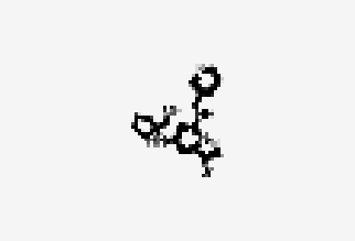 OCC1(Nc2cc(NCc3cccnc3)n3ncc(Br)c3c2)CCCC1